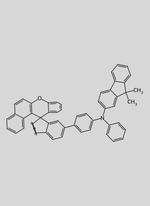 CC1(C)c2ccccc2-c2ccc(N(c3ccccc3)c3ccc(-c4ccc5c(c4)C4(c6ccccc6Oc6ccc7ccccc7c64)c4ccccc4-5)cc3)cc21